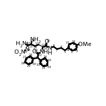 COc1ccc(CCCCNC(=O)[C@H](CCC(N)C(N)=N[N+](=O)[O-])NC(=O)C(c2ccccc2)c2ccccc2)cc1